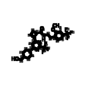 COc1cc(C(F)(F)F)ccc1CCNC(=O)[C@@H]1CCN1c1cc(N2CCC(CO)CC2)nc(C(F)(F)F)n1